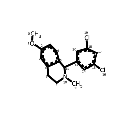 COc1ccc2c(c1)CCN(C)C2c1cc(Cl)cc(Cl)c1